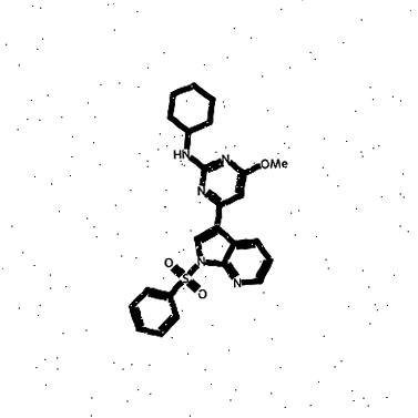 COc1cc(-c2cn(S(=O)(=O)c3ccccc3)c3ncccc23)nc(NC2CCCCC2)n1